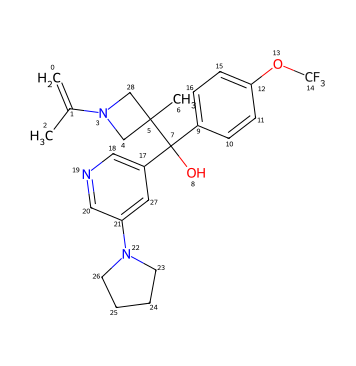 C=C(C)N1CC(C)(C(O)(c2ccc(OC(F)(F)F)cc2)c2cncc(N3CCCC3)c2)C1